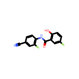 N#Cc1ccc(NC(=O)c2cc(F)ccc2O)c(F)c1